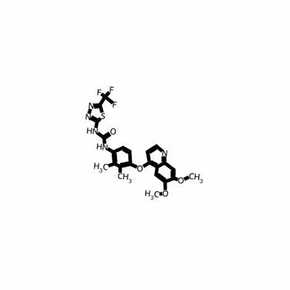 COc1cc2nccc(Oc3ccc(NC(=O)Nc4nnc(C(F)(F)F)s4)c(C)c3C)c2cc1OC